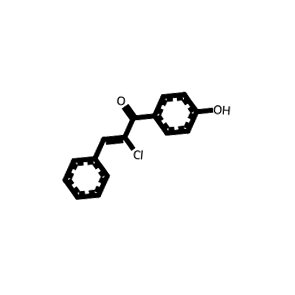 O=C(C(Cl)=Cc1ccccc1)c1ccc(O)cc1